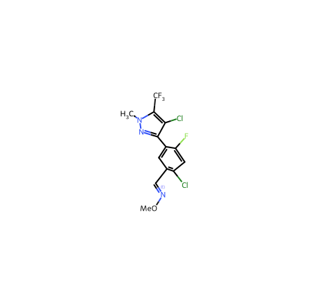 CO/N=C/c1cc(-c2nn(C)c(C(F)(F)F)c2Cl)c(F)cc1Cl